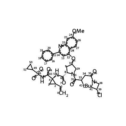 C=CC1C[C@]1(NC(=O)[C@@H]1C[C@@H](Oc2cc(-c3ccccc3)nc3cc(OC)ccc23)CN1C(=O)C(CC(=O)N1CC(Cl)C1)C(C)(C)C)C(=O)NS(=O)(=O)C1CC1